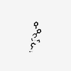 Cc1nc(-c2noc(=O)[nH]2)cc2nc(CN3CCC(c4cccc5c4O[C@@](C)(c4ccc(Cl)cc4F)O5)CC3)n(C[C@@H]3CCO3)c12